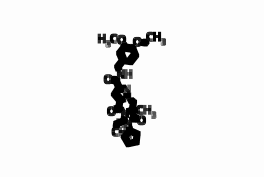 CCCN1C(=O)c2cc(C(=O)NCc3ccc(OCC)c(OC)c3)nn2CC1(C)C(=O)NC1CCCC1